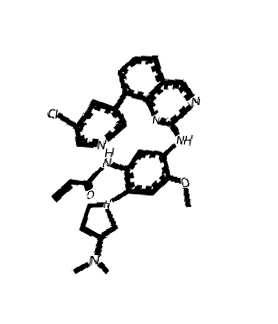 C=CC(=O)Nc1cc(Nc2ncc3cccc(-c4cncc(Cl)c4)c3n2)c(OC)cc1N1CCC(N(C)C)C1